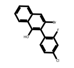 Oc1c(-c2ccc(Cl)cc2F)c(Br)cc2ccccc12